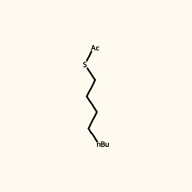 CCCCCCCCSC(C)=O